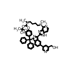 CN(CCCCN(C)c1nccc2[nH]c(-c3nn(C(c4ccccc4)(c4ccccc4)c4ccccc4)c4ccc(-c5cncc(CO)c5)cc34)nc12)C(=O)OC(C)(C)C